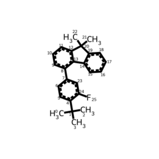 CC(C)(C)c1ccc(-c2cccc3c2-c2ccccc2C3(C)C)cc1F